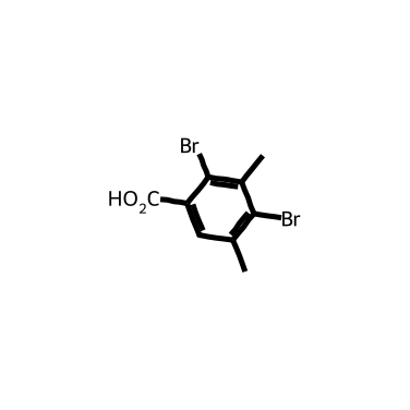 Cc1cc(C(=O)O)c(Br)c(C)c1Br